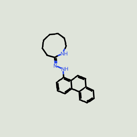 c1ccc2c(c1)ccc1c(NN=C3CCCCCCCN3)cccc12